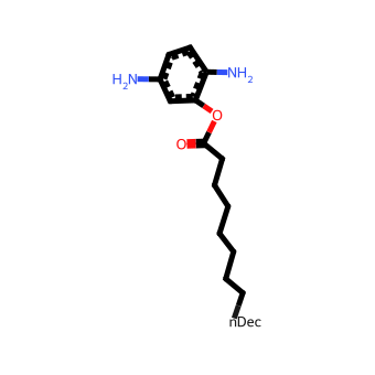 CCCCCCCCCCCCCCCCCC(=O)Oc1cc(N)ccc1N